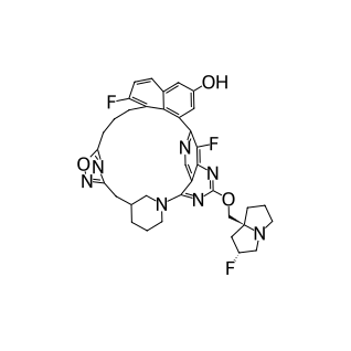 Oc1cc2c3c(c(F)ccc3c1)CCCc1nc(no1)CC1CCCN(C1)c1nc(OC[C@@]34CCCN3C[C@H](F)C4)nc3c(F)c-2ncc13